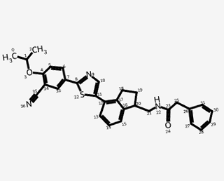 CC(C)Oc1ccc(-c2ncc(-c3cccc4c3CCC4CNC(=O)Cc3ccccc3)s2)cc1C#N